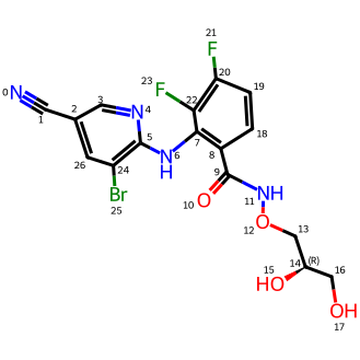 N#Cc1cnc(Nc2c(C(=O)NOC[C@H](O)CO)ccc(F)c2F)c(Br)c1